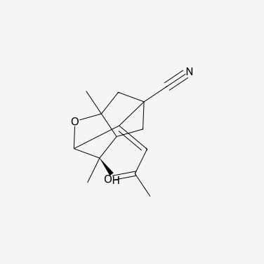 CC(=O)/C=C1\C2OC3(C)CC1(C#N)CC3[C@@H]2C